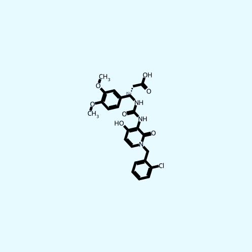 COc1ccc([C@H](CC(=O)O)NC(=O)Nc2c(O)ccn(Cc3ccccc3Cl)c2=O)cc1OC